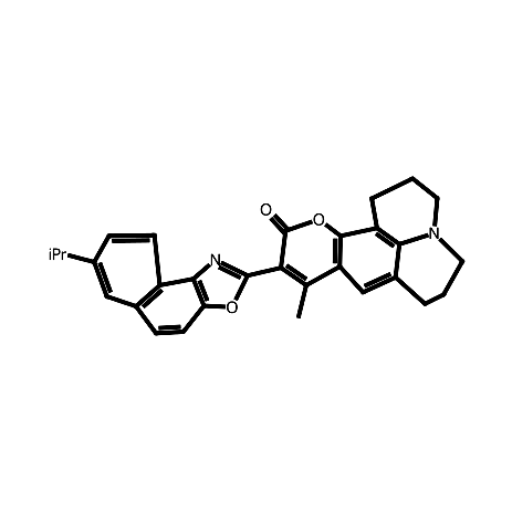 Cc1c(-c2nc3c(ccc4cc(C(C)C)ccc43)o2)c(=O)oc2c3c4c(cc12)CCCN4CCC3